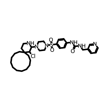 O=C(NCc1cccnc1)Nc1ccc(S(=O)(=O)N2CCN(C3NCCC4(CCCCCCCCCCC4)C3Cl)CC2)cc1